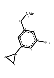 CNCc1cc(F)cc(C2CC2)c1